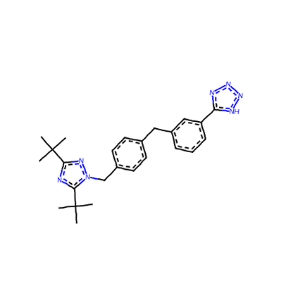 CC(C)(C)c1nc(C(C)(C)C)n(Cc2ccc(Cc3cccc(-c4nnn[nH]4)c3)cc2)n1